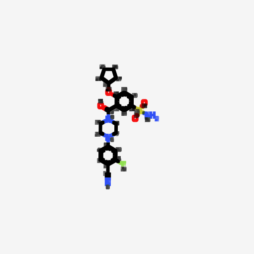 N#Cc1ccc(N2CCN(C(=O)c3cc(S(N)(=O)=O)ccc3OC3CCCC3)CC2)cc1F